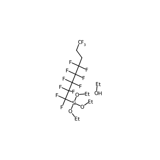 CCO.CCO[Si](OCC)(OCC)C(F)(F)C(F)(F)C(F)(F)C(F)(F)C(F)(F)CCC(F)(F)F